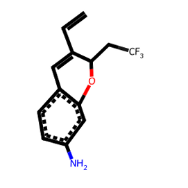 C=CC1=Cc2ccc(N)cc2OC1CC(F)(F)F